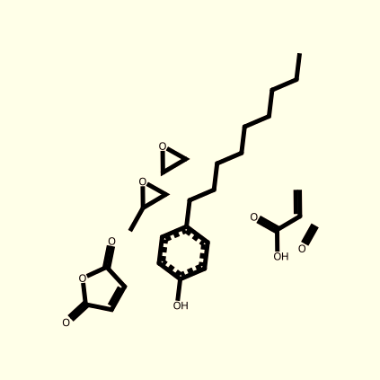 C1CO1.C=CC(=O)O.C=O.CC1CO1.CCCCCCCCCc1ccc(O)cc1.O=C1C=CC(=O)O1